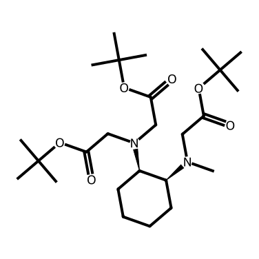 CN(CC(=O)OC(C)(C)C)[C@H]1CCCC[C@H]1N(CC(=O)OC(C)(C)C)CC(=O)OC(C)(C)C